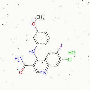 COc1cccc(Nc2c(C(N)=O)cnc3cc(Cl)c(I)cc23)c1.Cl